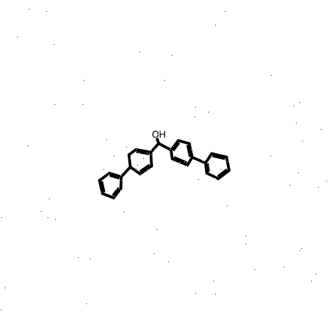 OC(C1=CCC(c2ccccc2)C=C1)c1ccc(-c2ccccc2)cc1